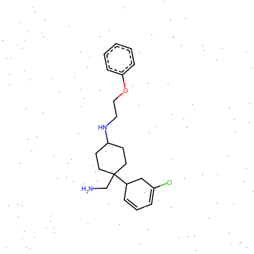 NCC1(C2C=CC=C(Cl)C2)CCC(NCCOc2ccccc2)CC1